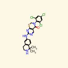 CC1(C)NCCc2cc(Nc3ncc4c(n3)SCN(c3c(Cl)cc(Cl)cc3Cl)C4=O)ccc21